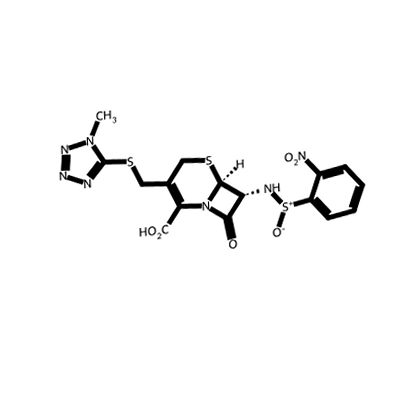 Cn1nnnc1SCC1=C(C(=O)O)N2C(=O)[C@@H](N[S+]([O-])c3ccccc3[N+](=O)[O-])[C@@H]2SC1